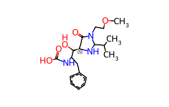 COCCN1C(=O)[C@H](C(O)C(Cc2ccccc2)NC(=O)O)NC1C(C)C